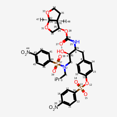 CC(C)CN(C[C@@H](O)[C@H](Cc1ccc(OS(=O)(=O)c2ccc([N+](=O)[O-])cc2)cc1)NC(=O)O[C@H]1CO[C@H]2OCC[C@H]21)S(=O)(=O)c1ccc([N+](=O)[O-])cc1